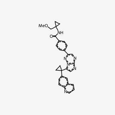 COCC1(NC(=O)c2ccc(-c3cnc4ncc(C5(c6ccc7ncccc7c6)CC5)n4n3)cc2)CC1